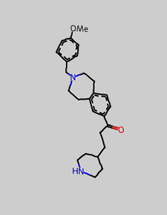 COc1ccc(CN2CCc3ccc(C(=O)CCC4CCNCC4)cc3CC2)cc1